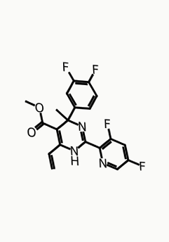 C=CC1=C(C(=O)OC)C(C)(c2ccc(F)c(F)c2)N=C(c2ncc(F)cc2F)N1